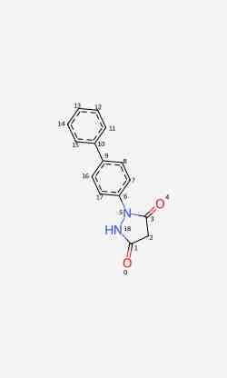 O=C1CC(=O)N(c2ccc(-c3ccccc3)cc2)N1